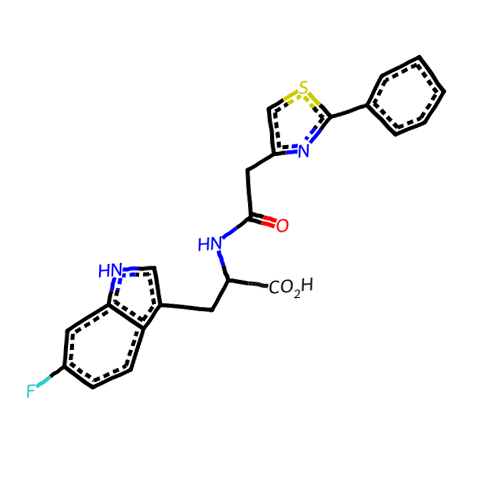 O=C(Cc1csc(-c2ccccc2)n1)NC(Cc1c[nH]c2cc(F)ccc12)C(=O)O